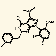 COc1ccc(F)c(F)c1-n1nc(N(C)C)c2c(=O)[nH]c(Cc3cccc(C)c3)nc21